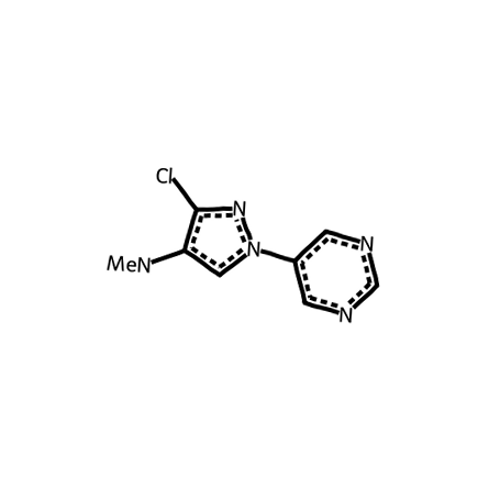 CNc1cn(-c2cncnc2)nc1Cl